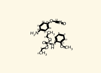 CCOP(=O)(Nc1ccccc1OC)OCC.Nc1ccc(OC#P=O)cc1